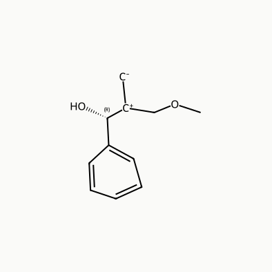 [CH2-][C+](COC)[C@@H](O)c1ccccc1